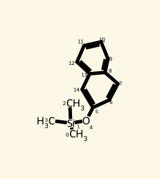 C[Si](C)(C)Oc1ccc2c[c]ccc2c1